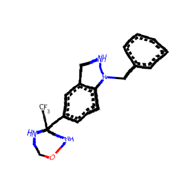 FC(F)(F)C1(c2ccc3c(c2)CNN3Cc2ccccc2)NCON1